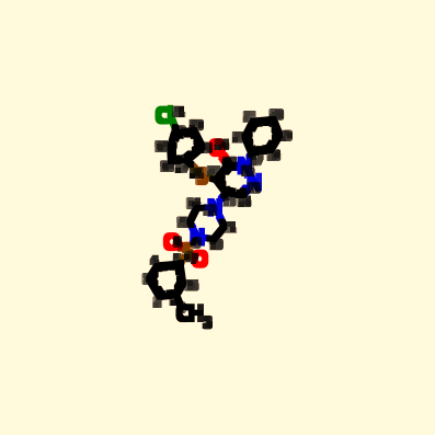 Cc1cccc(S(=O)(=O)N2CCN(c3cnn(-c4ccccc4)c(=O)c3Sc3ccc(Cl)cc3)CC2)c1